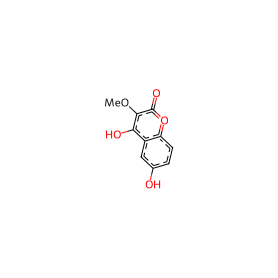 COc1c(O)c2cc(O)ccc2oc1=O